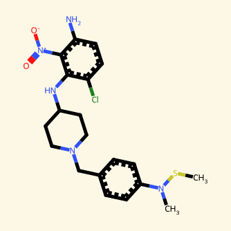 CSN(C)c1ccc(CN2CCC(Nc3c(Cl)ccc(N)c3[N+](=O)[O-])CC2)cc1